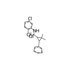 CC1(C)C(C(=O)Nc2cc(Cl)ccc2C(F)(F)F)C1c1ccccc1